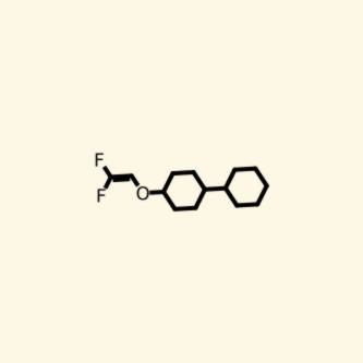 FC(F)=COC1CCC(C2CCCCC2)CC1